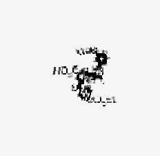 CCOC(=O)N1CCN(C(=O)C(CCC(=O)O)NC(=O)c2cc(C)nc(-c3cccc(OC)c3)n2)CC1